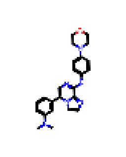 CN(C)c1cccc(-c2cnc(Nc3ccc(N4CCOCC4)cc3)c3nccn23)c1